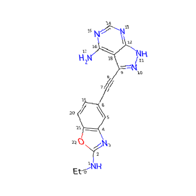 CCNc1nc2cc(C#Cc3n[nH]c4ncnc(N)c34)ccc2o1